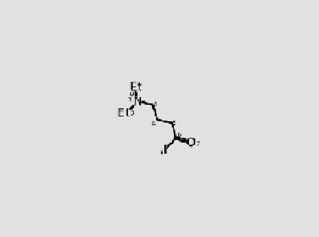 CCN(CC)CCCC(=O)I